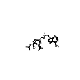 CC(C)=NO[P@@](CO[C@H](C)Cn1cnc2c(N)ncnc21)NC(C)(C)C(=O)OC(C)C